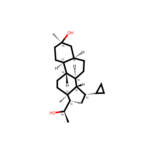 C[C@@H](O)[C@H]1C[C@@H](C2CC2)[C@H]2[C@@H]3CC[C@@H]4C[C@](C)(O)CC[C@@H]4[C@H]3CC[C@@]21C